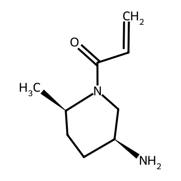 C=CC(=O)N1C[C@@H](N)CC[C@H]1C